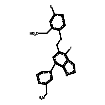 NCc1cccc(-c2cc(COc3ccc(F)cc3CC(=O)O)c(F)c3ccoc23)c1